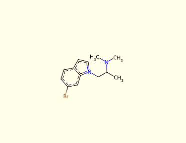 CC(Cn1ccc2ccc(Br)cc21)N(C)C